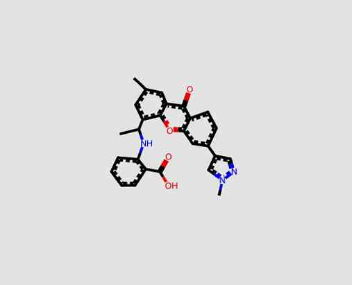 Cc1cc(C(C)Nc2ccccc2C(=O)O)c2oc3cc(-c4cnn(C)c4)ccc3c(=O)c2c1